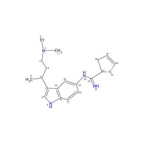 CCN(C)CCC(C)c1c[nH]c2ccc(NC(=N)C3CC=CS3)cc12